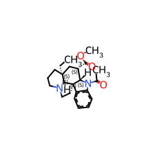 CC[C@]12CCCN3CC[C@]4(c5ccccc5N(C(C)=O)[C@H]4[C@@H](C(=O)OC)C1)[C@@H]32